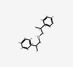 CC(COCC(C)c1ccccc1)c1ccccc1